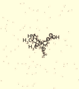 COc1cc(C)c2[nH]ccc2c1CN1CCC(OCC2CC2)c2ccc(OCC(=O)O)cc21